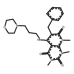 Cn1c(=O)c2c(NCCCN3CCOCC3)c(Cc3ccccc3)c(=O)n(C)c2n(C)c1=O